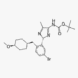 CO[C@H]1CC[C@@H](Cc2ccc(Br)cc2C2N=C(C)C(NC(=O)OC(C)(C)C)=N2)CC1